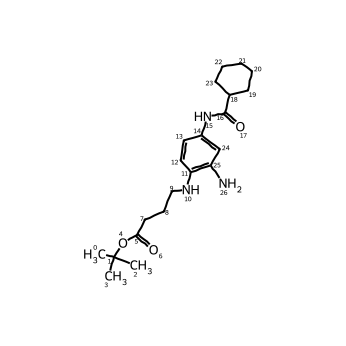 CC(C)(C)OC(=O)CCCNc1ccc(NC(=O)C2CCCCC2)cc1N